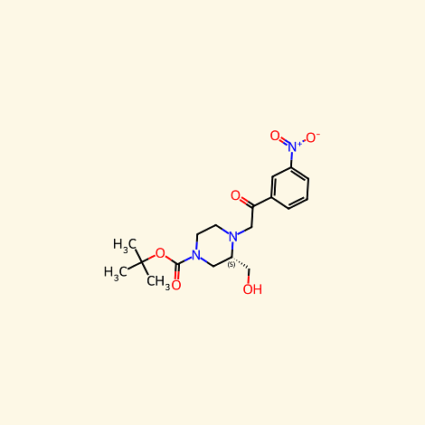 CC(C)(C)OC(=O)N1CCN(CC(=O)c2cccc([N+](=O)[O-])c2)[C@H](CO)C1